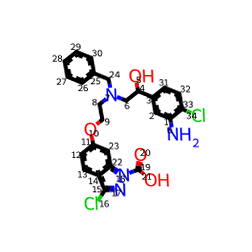 Nc1cc(C(O)CN(CCOc2ccc3c(Cl)nn(C(=O)O)c3c2)Cc2ccccc2)ccc1Cl